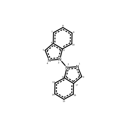 [c]1nn(-n2ncc3ccccc32)c2ccccc12